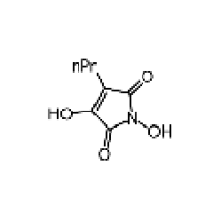 CCCC1=C(O)C(=O)N(O)C1=O